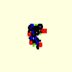 C=CC(=O)N1CC2(CF)C(=O)N(C)c3c(c4cc(F)c(-c5c(O)cccc5F)c(F)c4n(-c4c(C)ccnc4C(C)C)c3=O)N2CC1C